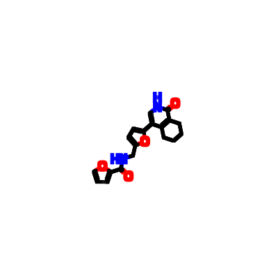 O=C(NCc1ccc(-c2c[nH]c(=O)c3c2CCCC3)o1)c1ccco1